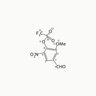 COc1cc(C=O)cc([N+](=O)[O-])c1OS(=O)(=O)C(F)(F)F